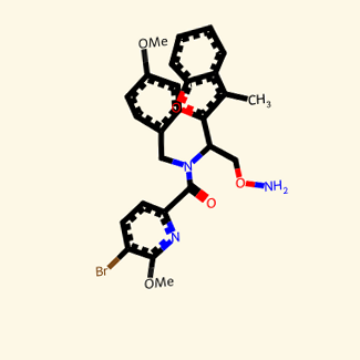 COc1ccc(CN(C(=O)c2ccc(Br)c(OC)n2)C(CON)c2oc3ccccc3c2C)cc1